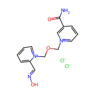 NC(=O)c1ccc[n+](COC[n+]2ccccc2/C=N/O)c1.[Cl-].[Cl-]